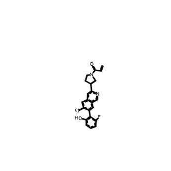 C=CC(=O)N1CCC(c2cc3cc(Cl)c(-c4c(O)cccc4F)cc3cn2)C1